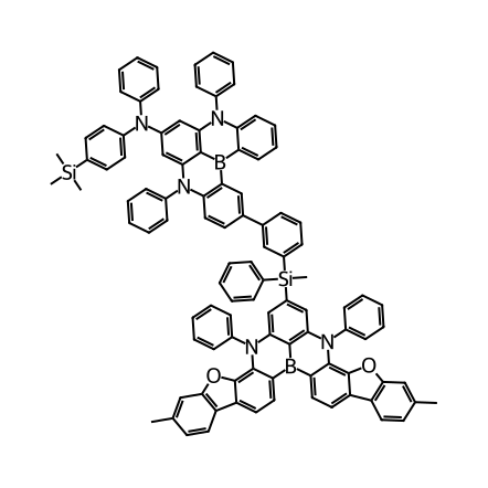 Cc1ccc2c(c1)oc1c3c(ccc12)B1c2ccc4c(oc5cc(C)ccc54)c2N(c2ccccc2)c2cc([Si](C)(c4ccccc4)c4cccc(-c5ccc6c(c5)B5c7ccccc7N(c7ccccc7)c7cc(N(c8ccccc8)c8ccc([Si](C)(C)C)cc8)cc(c75)N6c5ccccc5)c4)cc(c21)N3c1ccccc1